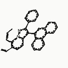 C=Cc1ccc2c(-c3cc4ccccc4c4ccccc34)c(-c3ccccc3)nn2c1/C=C\C